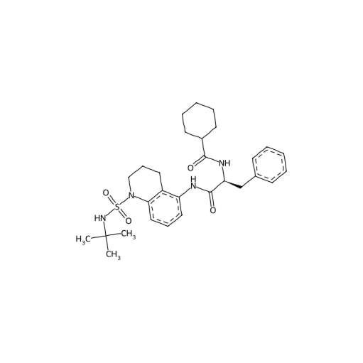 CC(C)(C)NS(=O)(=O)N1CCCc2c(NC(=O)[C@H](Cc3ccccc3)NC(=O)C3CCCCC3)cccc21